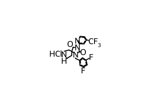 Cl.O=C1N(c2cc(C(F)(F)F)ccn2)C(=O)C2(CCNCC2)N1Cc1cc(F)cc(F)c1